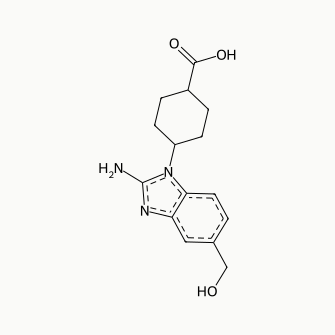 Nc1nc2cc(CO)ccc2n1C1CCC(C(=O)O)CC1